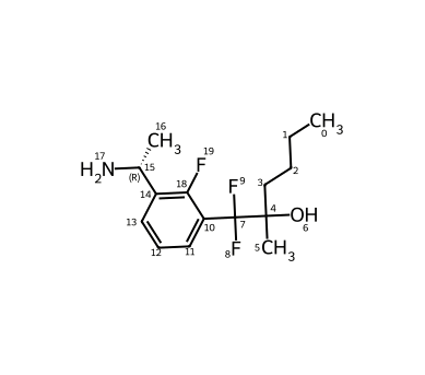 CCCCC(C)(O)C(F)(F)c1cccc([C@@H](C)N)c1F